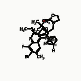 CSc1nc2c(F)c(Br)c(C)cc2c2c1cc(CN1CCOC1=O)n2[C@@H]1C2C[C@@H]1CN2C(=O)OC(C)(C)C